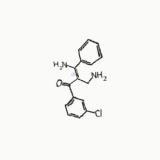 NC/C(C(=O)c1cccc(Cl)c1)=C(/N)c1ccccc1